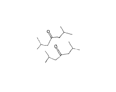 CC(C)CC(=O)CC(C)C.CC(C)CC(=O)CC(C)C